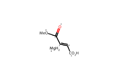 COC(=O)C=CC(=O)O.[MgH2]